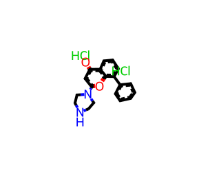 Cl.Cl.O=c1cc(N2CCNCC2)oc2c(-c3ccccc3)cccc12